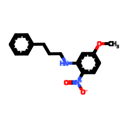 COc1ccc([N+](=O)[O-])c(NCCCc2ccccc2)c1